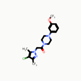 Cc1c(Cl)c(C(F)(F)F)nn1CC(=O)N1CCN(c2cccc(OC(F)(F)F)c2)CC1